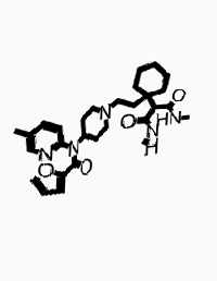 CNC(=O)C(C(=O)NC)C1(CCN2CCC(N(C(=O)c3ccco3)c3ccc(C)cn3)CC2)CCCCC1